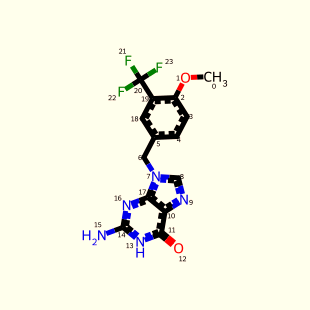 COc1ccc(Cn2cnc3c(=O)[nH]c(N)nc32)cc1C(F)(F)F